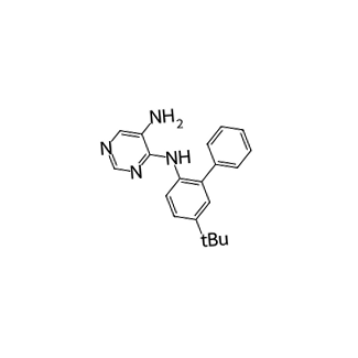 CC(C)(C)c1ccc(Nc2ncncc2N)c(-c2ccccc2)c1